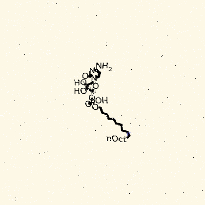 CCCCCCCC/C=C\CCCCCCCCOP(=O)(O)OC[C@H]1O[C@@H](n2ccc(N)nc2=O)[C@@H](O)[C@@H]1O